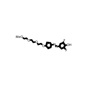 COCCOCCOCCOc1ccc(N=Nc2cc(F)c(O)c(F)c2)cc1